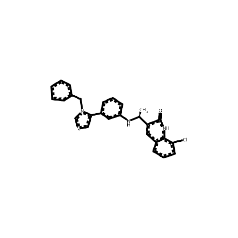 C[C@H](Nc1cccc(-c2cncn2Cc2ccccc2)c1)c1cc2cccc(Cl)c2[nH]c1=O